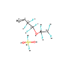 C=CC(F)(F)C(F)(F)OC(F)(F)C(F)F.O=S(=O)(F)F